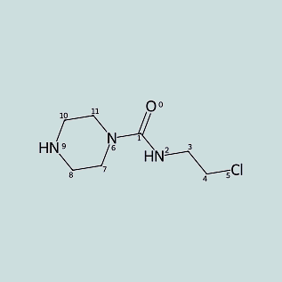 O=C(NCCCl)N1CCNCC1